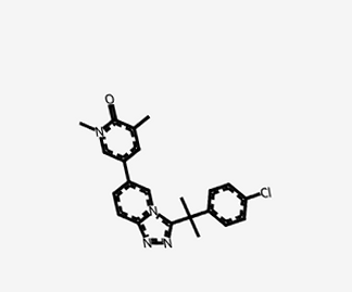 Cc1cc(-c2ccc3nnc(C(C)(C)c4ccc(Cl)cc4)n3c2)cn(C)c1=O